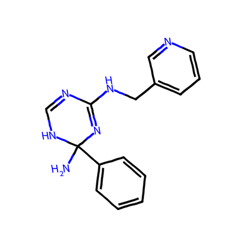 NC1(c2ccccc2)N=C(NCc2cccnc2)N=CN1